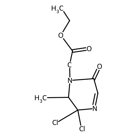 CCOC(=O)CN1C(=O)C=NC(Cl)(Cl)C1C